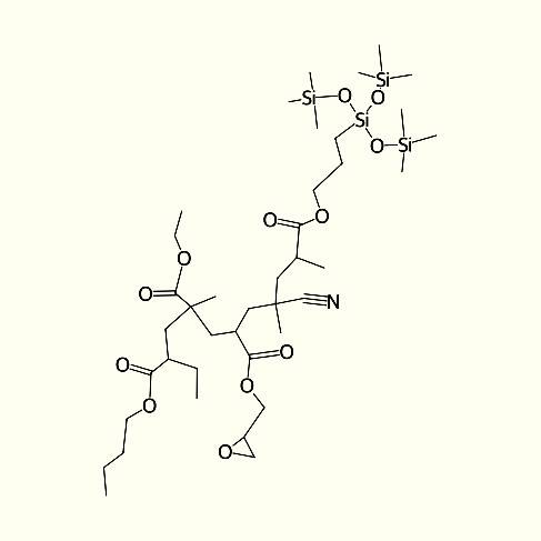 CCCCOC(=O)C(CC)CC(C)(CC(CC(C)(C#N)CC(C)C(=O)OCCC[Si](O[Si](C)(C)C)(O[Si](C)(C)C)O[Si](C)(C)C)C(=O)OCC1CO1)C(=O)OCC